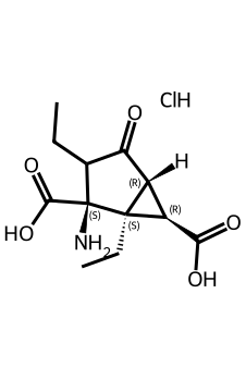 CCC1C(=O)[C@@H]2[C@@H](C(=O)O)[C@@]2(CC)[C@]1(N)C(=O)O.Cl